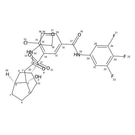 O=C(C[C@@]1(O)C2CC[C@H]1C[C@H](S(=O)(=O)c1cc(C(=O)Nc3cc(F)c(F)c(F)c3)ccc1Cl)C2)NC1COC1